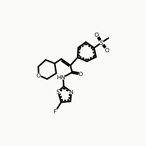 CS(=O)(=O)c1ccc(C(=CC2CCOCC2)C(=O)Nc2ncc(F)s2)cc1